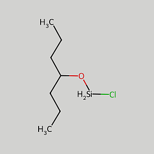 CCCC(CCC)O[SiH2]Cl